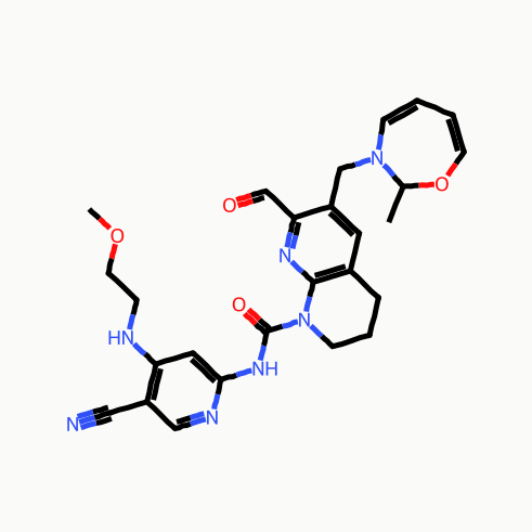 COCCNc1cc(NC(=O)N2CCCc3cc(CN4C=CC=COC4C)c(C=O)nc32)ncc1C#N